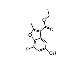 CCOC(=O)c1c(C)oc2c(F)cc(O)cc12